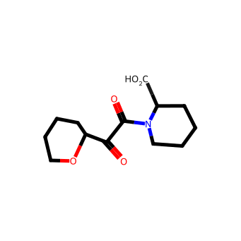 O=C(C(=O)N1CCCCC1C(=O)O)C1CCCCO1